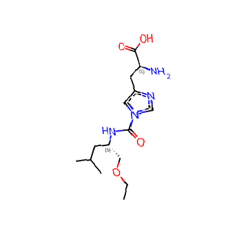 CCOC[C@H](CC(C)C)NC(=O)n1cnc(C[C@H](N)C(=O)O)c1